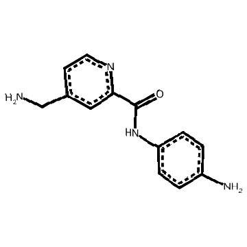 NCc1ccnc(C(=O)Nc2ccc(N)cc2)c1